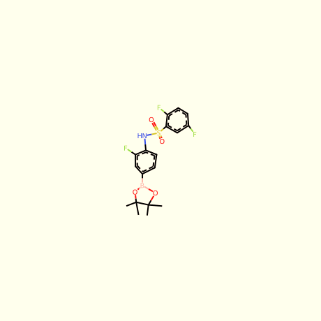 CC1(C)OB(c2ccc(NS(=O)(=O)c3cc(F)ccc3F)c(F)c2)OC1(C)C